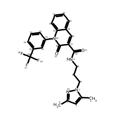 Cc1cc(C)n(CCCNC(=O)c2cc3ccccc3n(-c3cccc(C(F)(F)F)c3)c2=O)n1